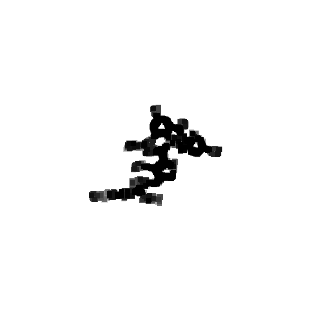 COc1cc(Cl)cc(C(=O)Nc2ccc(Cl)cn2)c1NC(=O)c1scc(CNC(=N)N(C)O)c1Cl